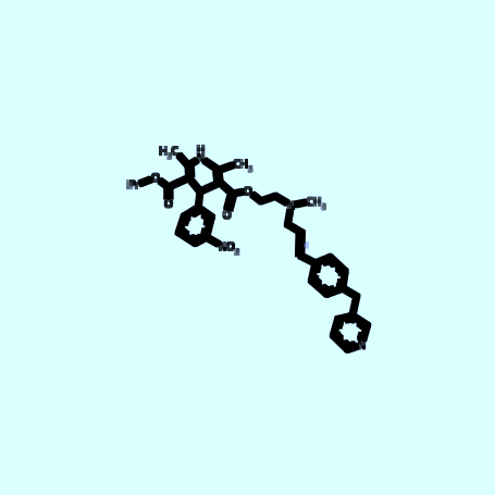 CC1=C(C(=O)OCCN(C)C/C=C/c2ccc(Cc3cccnc3)cc2)C(c2cccc([N+](=O)[O-])c2)C(C(=O)OC(C)C)=C(C)N1